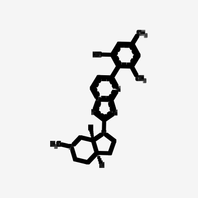 Cc1cc(C)c(-c2ccn3nc(N4CC[C@H]5CCN(C)C[C@H]54)nc3n2)c(O)c1